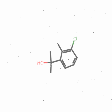 Cc1c(Cl)cccc1C(C)(C)O